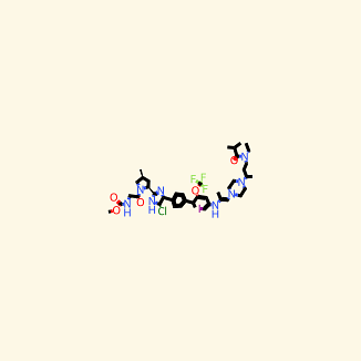 CCN(CCC(C)N1CCN(/C=C(\C)NC(=C/I)/C=C(/OC(F)(F)F)C(C)c2ccc(C3N=C([C@@H]4C[C@H](C)CN4C(=O)CNC(=O)OC)N[C@@H]3Cl)cc2)CC1)C(=O)C(C)C